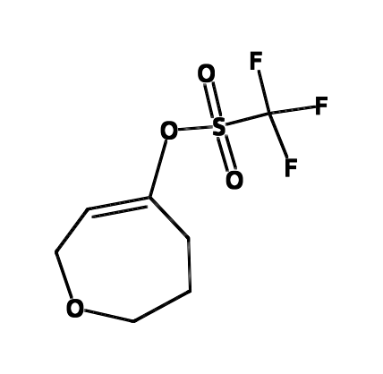 O=S(=O)(OC1=CCOCCC1)C(F)(F)F